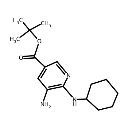 CC(C)(C)OC(=O)c1cnc(NC2CCCCC2)c(N)c1